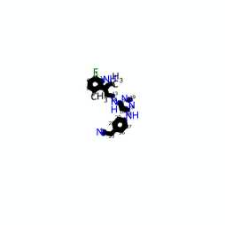 Cc1[nH]c2c(F)ccc(C)c2c1CCNc1cc(Nc2ccc(CC#N)cc2)ncn1